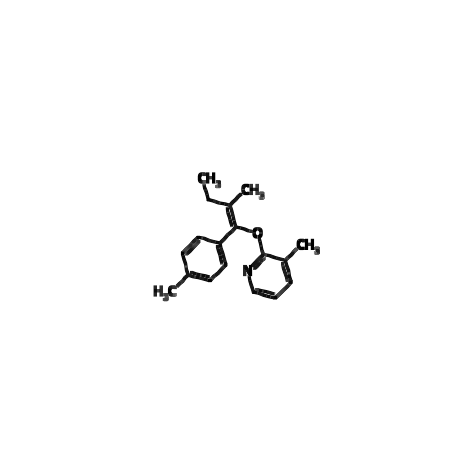 CC/C(C)=C(/Oc1ncccc1C)c1ccc(C)cc1